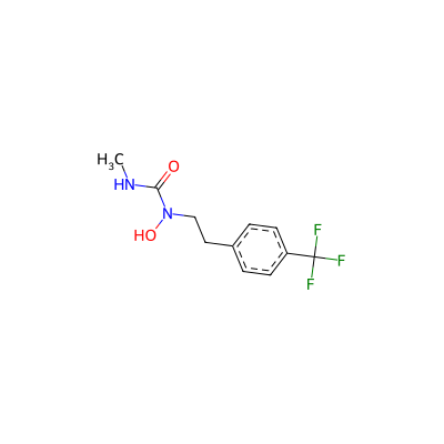 CNC(=O)N(O)CCc1ccc(C(F)(F)F)cc1